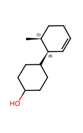 C[C@H]1C[CH]C=C[C@H]1C1CCC(O)CC1